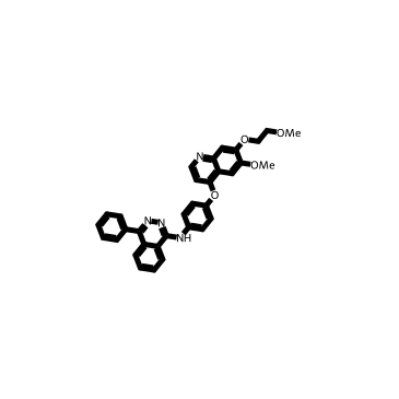 COCCOc1cc2nccc(Oc3ccc(Nc4nnc(-c5ccccc5)c5ccccc45)cc3)c2cc1OC